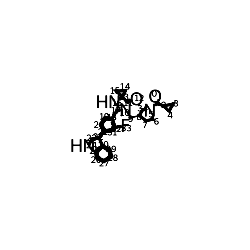 O=C(C1CC1)N1CC[C@@H](CN2C(=O)C3(CC3)NC2c2ccc(C3CNc4ccccc43)cc2F)C1